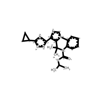 CC(C)OC(=O)N1c2ccccc2-n2cnc(-c3noc(C4CC4)n3)c2C1(C)C